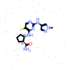 Cn1cc(Nc2ncc(F)c(N[C@@H]3CCC[C@@H]3C(N)=O)n2)cn1